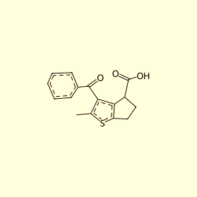 Cc1sc2c(c1C(=O)c1ccccc1)C(C(=O)O)CC2